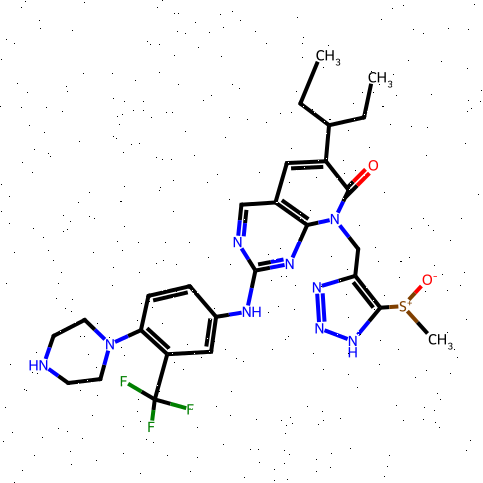 CCC(CC)c1cc2cnc(Nc3ccc(N4CCNCC4)c(C(F)(F)F)c3)nc2n(Cc2nn[nH]c2[S+](C)[O-])c1=O